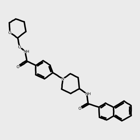 O=C(NOC1CCCCO1)c1ccc(N2CCC(NC(=O)c3ccc4ccccc4c3)CC2)cc1